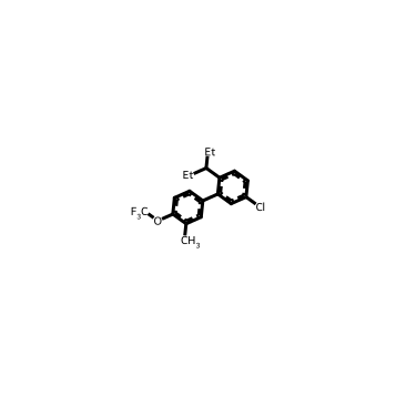 CCC(CC)c1ccc(Cl)cc1-c1ccc(OC(F)(F)F)c(C)c1